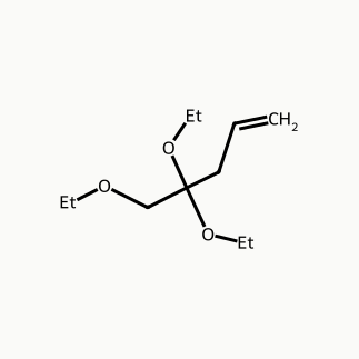 C=CCC(COCC)(OCC)OCC